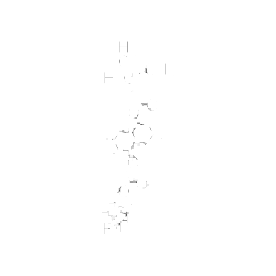 CCC(C)(C)CCC(=O)Oc1cccc2c(OCC(=O)OCC(F)(F)C(F)(F)F)cccc12